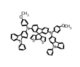 COc1ccc(N(c2ccc3c(c2)C2(c4cc(N(c5ccc(OC)cc5)c5ccc6c(c5)c5ccccc5n6-c5ccccc5)ccc4-3)c3ccsc3-c3sccc32)c2ccc3c(c2)c2ccccc2n3-c2ccccc2)cc1